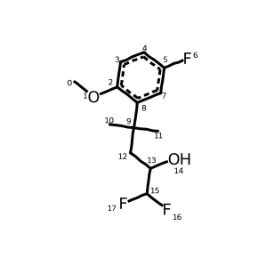 COc1ccc(F)cc1C(C)(C)CC(O)C(F)F